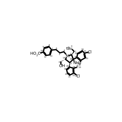 CC(C)(C)C[C@@H]1N(CCCc2ccc(C(=O)O)cc2)[C@@H](CO)[C@H](c2cccc(Cl)c2F)[C@@]1(N)c1ccc(Cl)cc1F